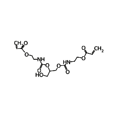 C=CC(=O)OCCNC(=O)OCC(CO)OC(=O)NCCOC(=O)C=C